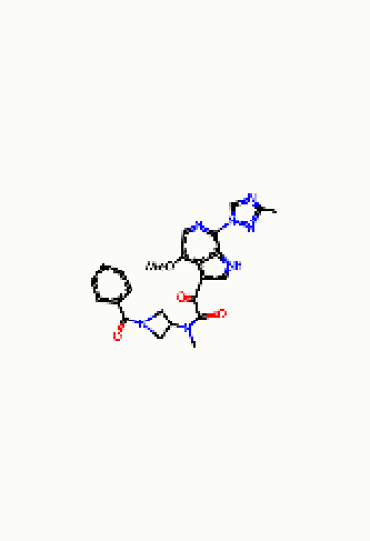 COc1cnc(-n2cnc(C)n2)c2[nH]cc(C(=O)C(=O)N(C)C3CN(C(=O)c4ccccc4)C3)c12